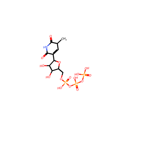 CC1C=C(C2OC(COP(=O)(O)OP(=O)(O)OP(=O)(O)O)C(O)C2O)C(=O)NC1=O